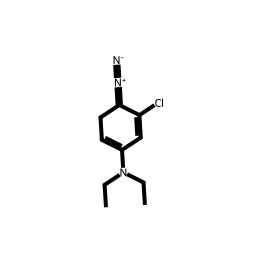 CCN(CC)C1=CCC(=[N+]=[N-])C(Cl)=C1